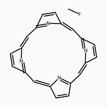 C1=CC2=NC1=CC1=NC(=CC3=NC(=CC4=NC(=C2)C=C4)C=C3)C=C1.CF